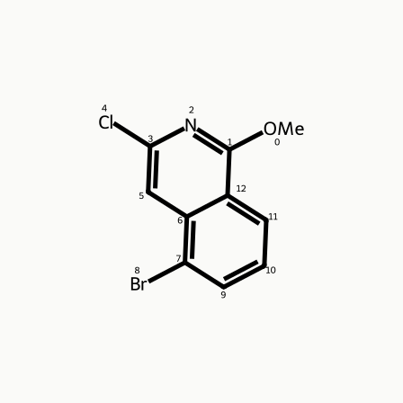 COc1nc(Cl)cc2c(Br)cccc12